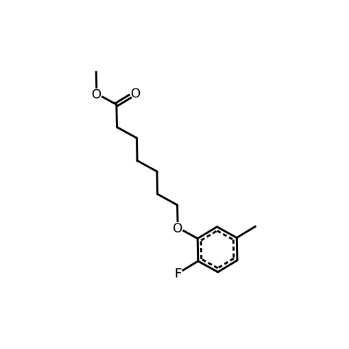 COC(=O)CCCCCCOc1cc(C)ccc1F